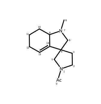 CC(=O)N1CCC2(C1)CN(C)C1CCCC=C12